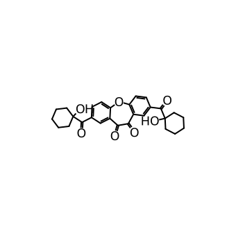 O=C(c1ccc2oc3ccc(C(=O)C4(O)CCCCC4)cc3c(=O)c(=O)c2c1)C1(O)CCCCC1